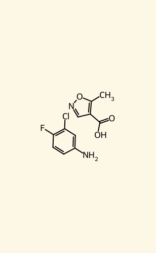 Cc1oncc1C(=O)O.Nc1ccc(F)c(Cl)c1